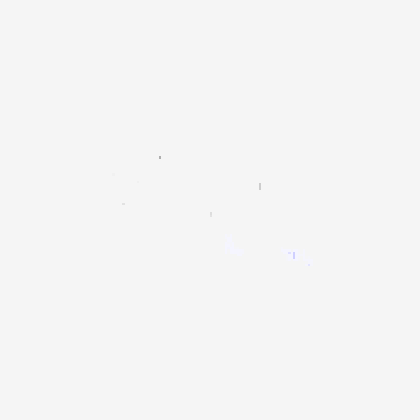 Cc1cc(N)cnc1-c1ccc(C(F)(F)F)cc1